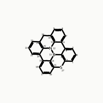 c1cc2c3c(c1)-c1cccc4c1N1B3c3c(cccc3-c3cccc(c31)C4)S2